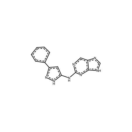 c1ccc(-c2cc(Nc3ncc4nc[nH]c4n3)[nH]n2)cc1